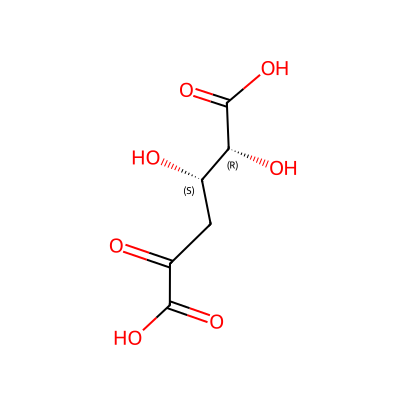 O=C(O)C(=O)C[C@H](O)[C@@H](O)C(=O)O